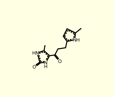 Cc1ccc(CCC(=O)c2[nH]c(=O)[nH]c2C)[nH]1